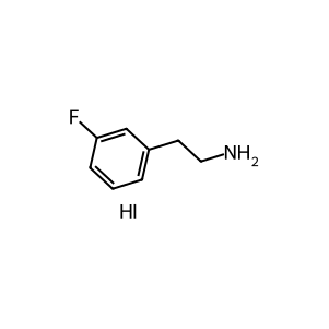 I.NCCc1cccc(F)c1